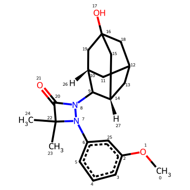 COc1cccc(N2N(C3[C@H]4CC5C[C@H]3CC(O)(C5)C4)C(=O)C2(C)C)c1